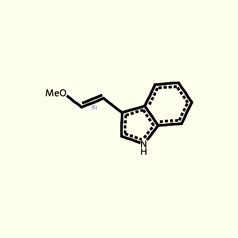 CO/C=C/c1c[nH]c2ccccc12